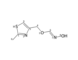 Cc1nc(COC=NO)cs1